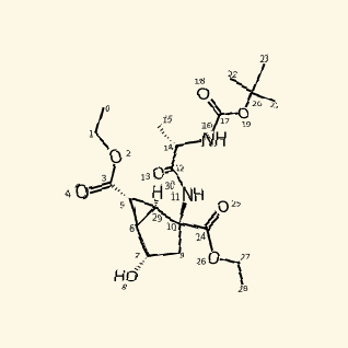 CCOC(=O)[C@H]1C2[C@@H](O)C[C@@](NC(=O)[C@H](C)NC(=O)OC(C)(C)C)(C(=O)OCC)[C@@H]21